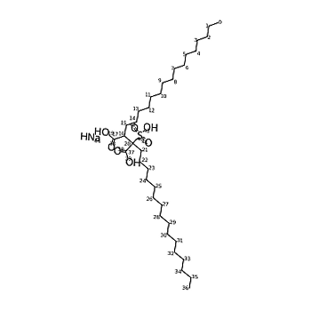 CCCCCCCCCCCCCCCCC(C(=O)O)C(CCCCCCCCCCCCCCCC)(C(=O)O)S(=O)(=O)O.[NaH]